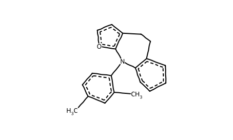 Cc1ccc(N2c3ccccc3CCc3ccoc32)c(C)c1